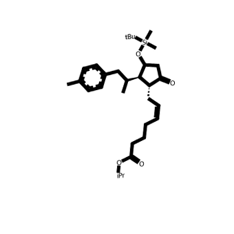 Cc1ccc(CC(C)[C@H]2C(O[Si](C)(C)C(C)(C)C)CC(=O)[C@@H]2C/C=C\CCCC(=O)OC(C)C)cc1